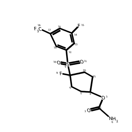 NC(=O)OC1CCC(F)(S(=O)(=O)c2cc(F)cc(C(F)(F)F)c2)CC1